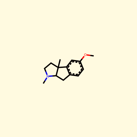 COc1ccc2c(c1)C1(C)CCN(C)C1C2